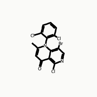 Cc1cc(=O)c2c(Cl)ncc(Br)c2n1-c1c(Cl)cccc1Cl